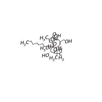 CCCCCCCCCC(=O)O[C@@]12[C@H](O)[C@@H](C)[C@H]3[C@@H](C=C(CO)C[C@]4(O)C(=O)C(C)=C[C@@]34O)[C@@H]1C2(C)C